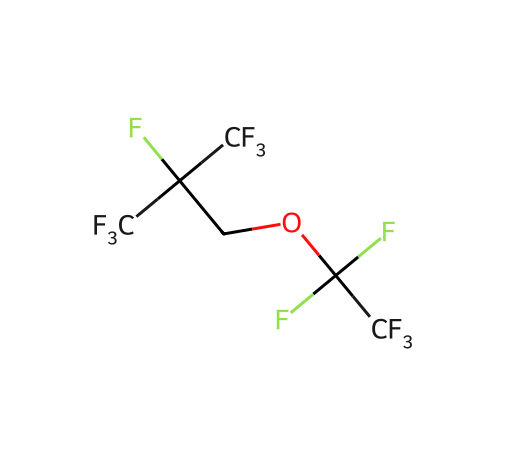 FC(F)(F)C(F)(F)OCC(F)(C(F)(F)F)C(F)(F)F